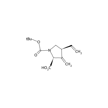 C=C[C@@H]1CN(C(=O)OC(C)(C)C)[C@H](C(=O)O)C1=C